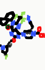 CN1C[C@H](F)C[C@H]1COc1nc(N2CCN(C(=O)O)[C@@H](CC#N)C2)c2nc(C(F)(F)F)n(-c3cccc4cccc(Cl)c34)c(=O)c2n1